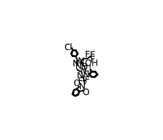 O=C1c2ccccc2C(=O)N1CC(F)(F)c1nc(Cn2nc(-c3ccc(Cl)cc3)n(CC(O)C(F)(F)F)c2=O)nn1-c1ccccc1Cl